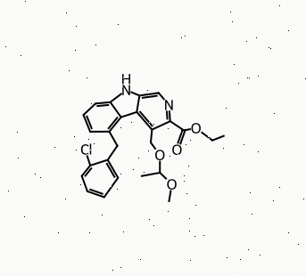 CCOC(=O)c1ncc2[nH]c3cccc(Cc4ccccc4Cl)c3c2c1COC(C)OC